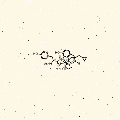 CO[C@]12CC[C@@]3(C[C@@H]1CNC(=O)[C@H](Cc1ccc(O)cc1)NC(C)=O)[C@H]1Cc4ccc(O)c5c4[C@@]3(CCN1CC1CC1)[C@H]2O5